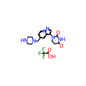 O=C(O)C(F)(F)F.O=C1CCN(c2cnn3ccc(CN4CCNCC4)cc23)C(=O)N1